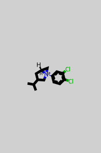 CC(C)C1C[C@@H]2C[N@@+]2(c2ccc(Cl)c(Cl)c2)C1